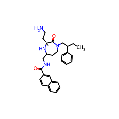 CCC(CN1CCC(CNC(=O)c2ccc3ccccc3c2)N[C@@H](CCN)C1=O)c1ccccc1